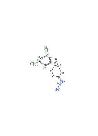 [N-]=[N+]=NC1CC[C@@]2(c3cc(Cl)cc(Cl)c3)CC2C1